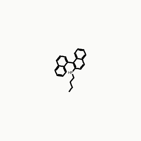 CCCCPc1ccc2ccccc2c1-c1cccc2ccccc12